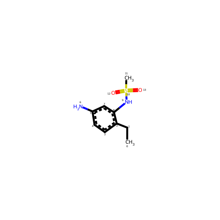 CCc1ccc(N)cc1NS(C)(=O)=O